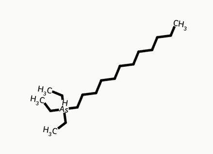 CCCCCCCCCCCC[AsH](CC)(CC)CC